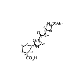 CSc1nnc(NC(=O)c2nnc(N3CCCC(C(=O)O)C3)o2)s1